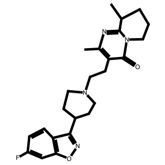 Cc1nc2n(c(=O)c1CCN1CCC(c3noc4cc(F)ccc34)CC1)CCCC2C